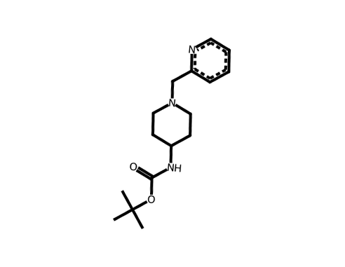 CC(C)(C)OC(=O)NC1CCN(Cc2ccccn2)CC1